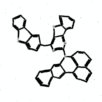 c1ccc2cc3c(cc2c1)-c1cccc2cccc(c12)N3c1nc(-c2ccc3sc4ccccc4c3c2)c2sc3ccccc3c2n1